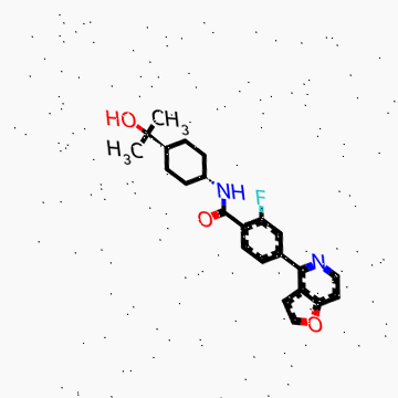 CC(C)(O)[C@H]1CC[C@H](NC(=O)c2ccc(-c3nccc4occc34)cc2F)CC1